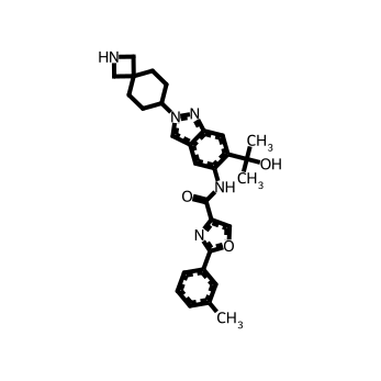 Cc1cccc(-c2nc(C(=O)Nc3cc4cn(C5CCC6(CC5)CNC6)nc4cc3C(C)(C)O)co2)c1